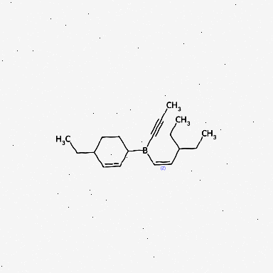 CC#CB(/C=C\C(CC)CC)C1C=CC(CC)CC1